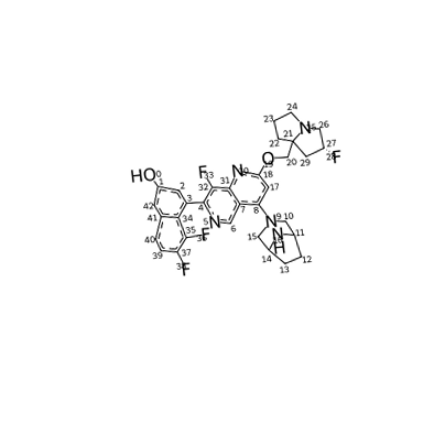 Oc1cc(-c2ncc3c(N4CC5CCC(C4)N5)cc(OCC45CCCN4C[C@H](F)C5)nc3c2F)c2c(F)c(F)ccc2c1